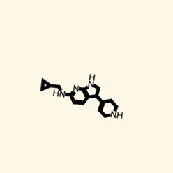 C1=C(C2CNc3nc(NCC4CC4)ccc32)CCNC1